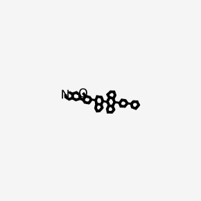 c1ccc(-c2ccc(-c3c4ccccc4c(-c4ccc(-c5ccc6c(c5)oc5cc7cnccc7cc56)c5ccccc45)c4ccccc34)cc2)cc1